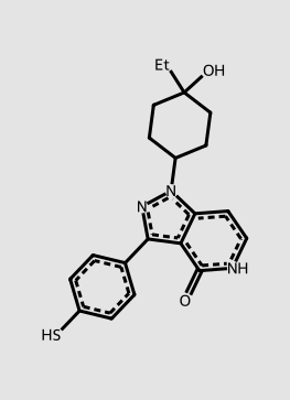 CCC1(O)CCC(n2nc(-c3ccc(S)cc3)c3c(=O)[nH]ccc32)CC1